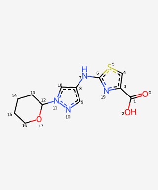 O=C(O)c1csc(Nc2cnn(C3CCCCO3)c2)n1